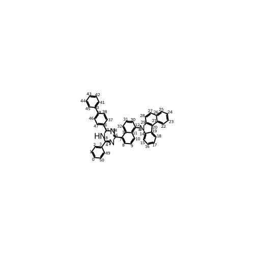 c1ccc(C2=NC(c3cccc4c(-n5c6ccccc6c6c7ccccc7ccc65)cccc34)=NC(c3ccc(-c4ccccc4)cc3)N2)cc1